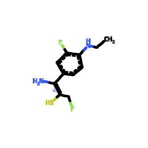 CCNc1ccc(/C(N)=C(/S)CF)cc1F